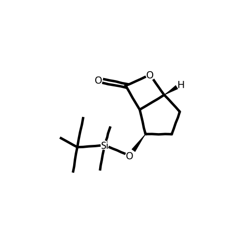 CC(C)(C)[Si](C)(C)O[C@@H]1CC[C@H]2OC(=O)C21